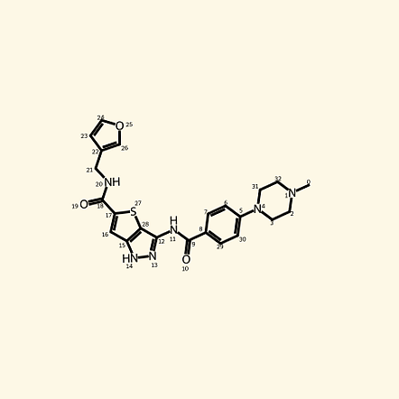 CN1CCN(c2ccc(C(=O)Nc3n[nH]c4cc(C(=O)NCc5ccoc5)sc34)cc2)CC1